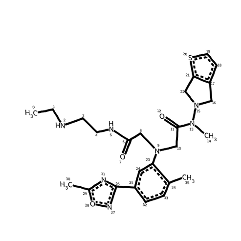 CCNCCNC(=O)CN(CC(=O)N(C)N1Cc2ccsc2C1)c1cc(-c2noc(C)n2)ccc1C